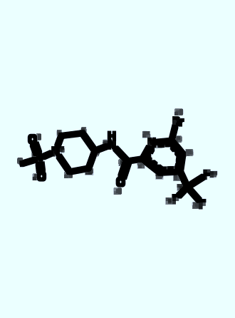 CS(=O)(=O)N1CCC(NC(=O)c2cc(C(F)(F)F)cc(Br)n2)CC1